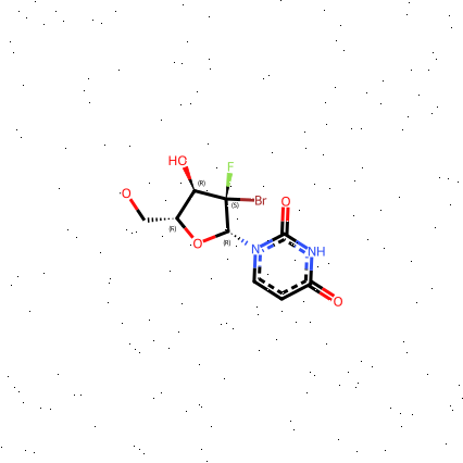 [O]C[C@H]1O[C@@H](n2ccc(=O)[nH]c2=O)[C@@](F)(Br)[C@@H]1O